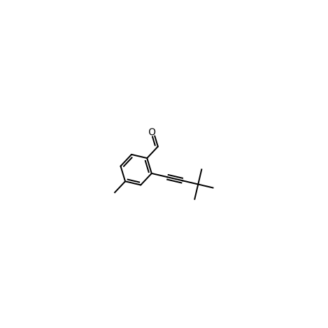 Cc1ccc(C=O)c(C#CC(C)(C)C)c1